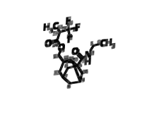 CCNC(=O)C12CC3CC(CC(COC(=O)C(C)C(F)(F)F)(C3)C1)C2